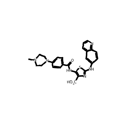 CN1CCN(c2ccc(C(=O)Nc3sc(Nc4ccc5ncccc5c4)nc3C(=O)O)cc2)CC1